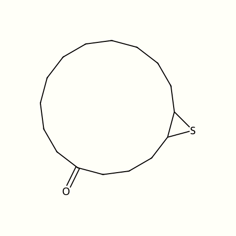 O=C1CCCCCCCCCCC2SC2CCC1